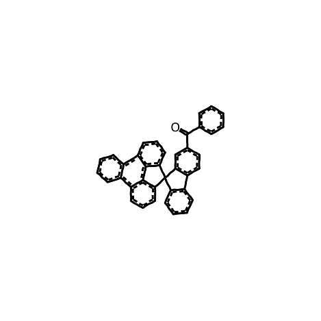 O=C(c1ccccc1)c1ccc2c(c1)C1(c3ccccc3-2)c2cccc3c4ccccc4c4cccc1c4c23